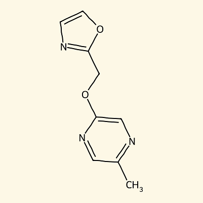 Cc1cnc(OCc2ncco2)cn1